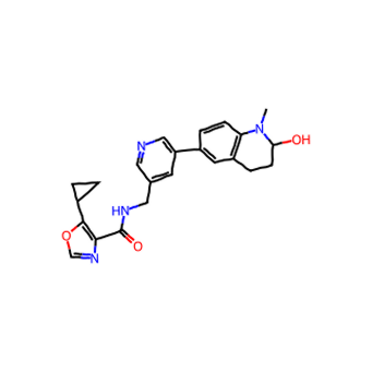 CN1c2ccc(-c3cncc(CNC(=O)c4ncoc4C4CC4)c3)cc2CCC1O